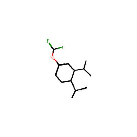 CC(C)C1CCC(OC(F)F)CC1C(C)C